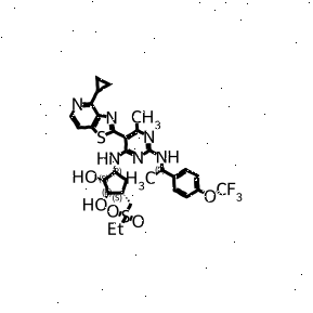 CCS(=O)(=O)C[C@H]1C[C@@H](Nc2nc(N[C@H](C)c3ccc(OC(F)(F)F)cc3)nc(C)c2-c2nc3c(C4CC4)nccc3s2)[C@H](O)[C@@H]1O